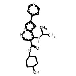 CC(C)Nc1c(C(=O)NC2CCC(O)CC2)cnn2cc(-c3ccncc3)cc12